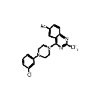 CC(=O)c1ccc2nc(C(F)(F)F)nc(N3CCN(c4cccc(Cl)c4)CC3)c2c1